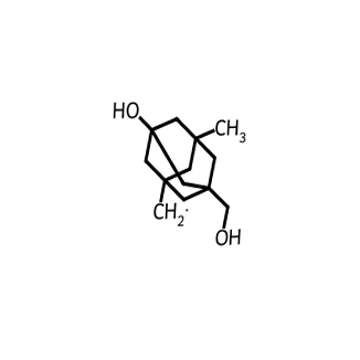 [CH2]C12CC3(C)CC(O)(C1)CC(CO)(C2)C3